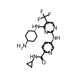 N[C@H]1CC[C@H](Nc2nc(Nc3ccc(C(=O)NC4CC4)nc3)ncc2C(F)(F)F)CC1